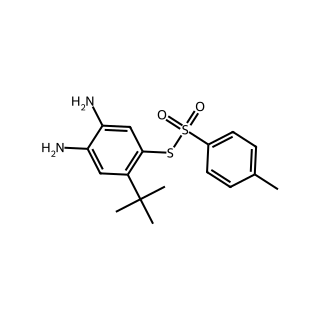 Cc1ccc(S(=O)(=O)Sc2cc(N)c(N)cc2C(C)(C)C)cc1